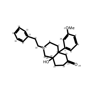 COc1cccc(C23CCN(CCc4ccccc4)CC2(O)CCC(=O)C3)c1